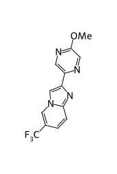 COc1cnc(-c2cn3cc(C(F)(F)F)ccc3n2)cn1